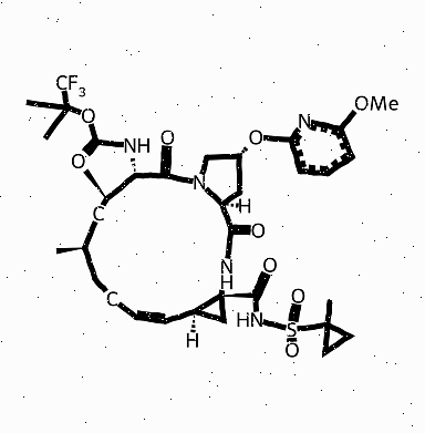 COc1cccc(O[C@@H]2C[C@H]3C(=O)N[C@]4(C(=O)NS(=O)(=O)C5(C)CC5)C[C@H]4/C=C\CC[C@@H](C)C[C@@H](C)[C@H](NC(=O)OC(C)(C)C(F)(F)F)C(=O)N3C2)n1